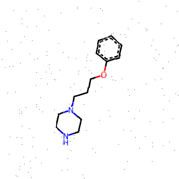 [c]1ccc(OCCCN2CCNCC2)cc1